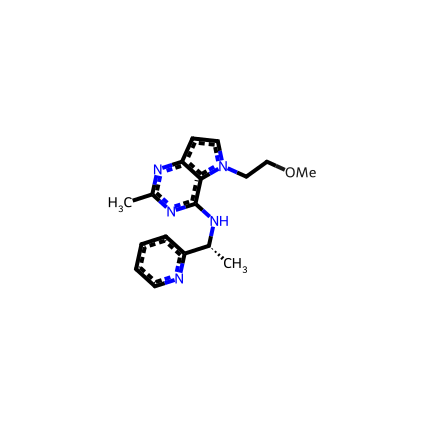 COCCn1ccc2nc(C)nc(N[C@H](C)c3ccccn3)c21